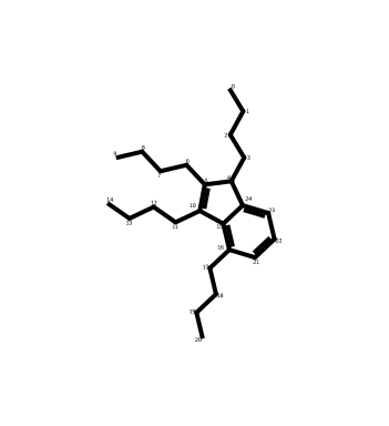 CCCC[C]1C(CCCC)=C(CCCC)c2c(CCCC)cccc21